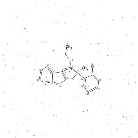 CCOC(=O)C(C)(Cc1cc2ccccc2s1)c1ccccc1Cl